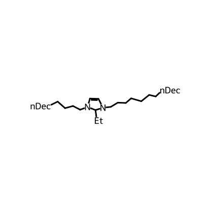 CCCCCCCCCCCCCCCCCN1C=CN(CCCCCCCCCCCCCC)C1CC